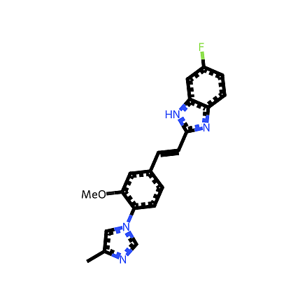 COc1cc(C=Cc2nc3ccc(F)cc3[nH]2)ccc1-n1cnc(C)c1